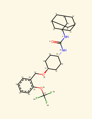 O=C(NC12CC3CC(CC(C3)C1)C2)N[C@H]1CC[C@H](OCc2ccccc2OC(F)(F)F)CC1